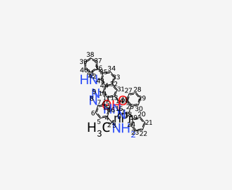 CCCC(C)(N)c1ccc(/N=N\c2c(O)c(C(=O)NN=C(c3ccccc3)c3ccccc3)cc3ccc4c5ccccc5[nH]c4c23)cc1